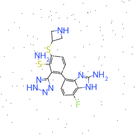 NSc1c(SC2CNC2)ccc(-c2ccc(F)c3[nH]c(N)nc23)c1-c1nn[nH]n1